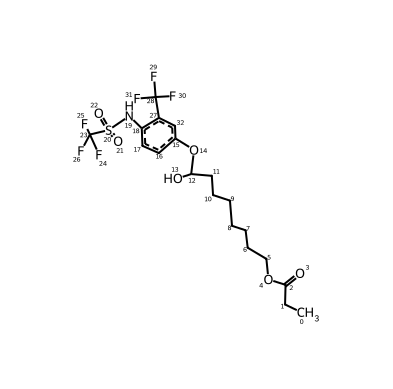 CCC(=O)OCCCCCCCC(O)Oc1ccc(NS(=O)(=O)C(F)(F)F)c(C(F)(F)F)c1